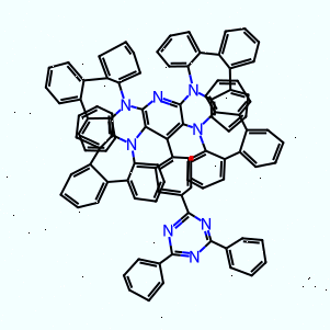 c1ccc(-c2nc(-c3ccccc3)nc(-c3ccc(-c4c(N5c6ccccc6-c6ccccc6-c6ccccc65)c(N5c6ccccc6-c6ccccc6-c6ccccc65)nc(N5c6ccccc6-c6ccccc6-c6ccccc65)c4N4c5ccccc5-c5ccccc5-c5ccccc54)cc3)n2)cc1